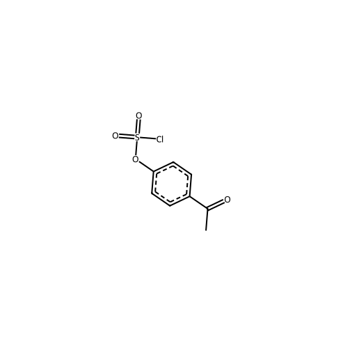 CC(=O)c1ccc(OS(=O)(=O)Cl)cc1